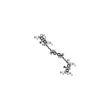 CC1=CC2=Nc3cc(C)c(N)cc3N(C3CC3)C2C=C1NCCCCCCNC(=O)c1ccc(-c2ccc(C(=O)NCCCCCCNc3cc4c(cc3C)nc3cc(C)c(N)cc3[n+]4C3CC3)cc2)cc1